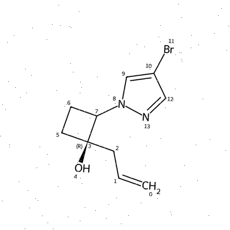 C=CC[C@]1(O)CCC1n1cc(Br)cn1